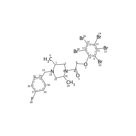 CC1CN(C(=O)COc2c(Br)c(Br)c(Br)c(Br)c2Br)C(C)CN1Cc1ccc(F)cc1